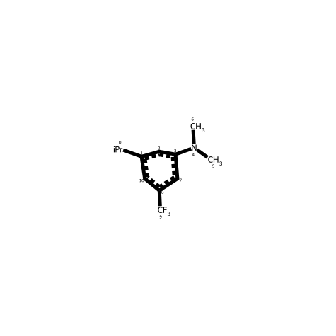 CC(C)c1cc(N(C)C)cc(C(F)(F)F)c1